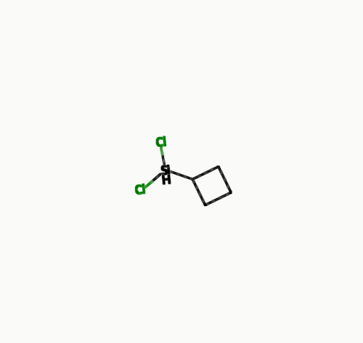 Cl[SiH](Cl)C1CCC1